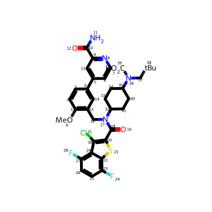 COc1ccc(-c2ccnc(C(N)=O)c2)cc1CN(C(=O)c1sc2c(F)ccc(F)c2c1Cl)C1CCC(N(CC(C)(C)C)C(=O)O)CC1